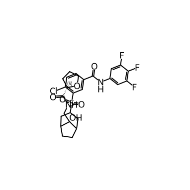 O=C(Nc1cc(F)c(F)c(F)c1)c1ccc(Cl)c(S(=O)(=O)C2CC3CCC(C2)C3(O)CNC(=O)[C@@H]2CCCO2)c1